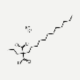 CCCCCCCCCCCCC(CCC)(C(=O)[O-])C(=O)[O-].[K+].[K+]